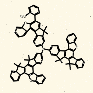 CC(C)(C)c1ccccc1-c1cc2c(c3c1oc1ccccc13)-c1ccc(N(c3ccc4c(c3)C(C)(C)c3c5c(c6oc7ccccc7c6c3-4)-c3ccccc3C5(C)C)c3ccc4c(c3)C(C)(C)c3c5c(c6oc7ccccc7c6c3-4)-c3ccccc3C5(C)C)cc1C2(C)C